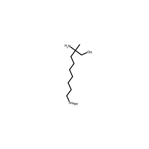 CCCCCCCCCCCCCCC(C)(N)CO